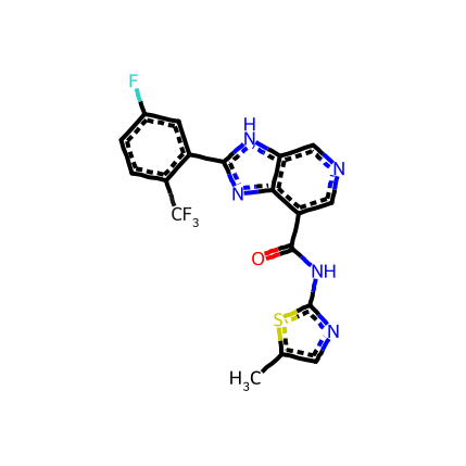 Cc1cnc(NC(=O)c2cncc3[nH]c(-c4cc(F)ccc4C(F)(F)F)nc23)s1